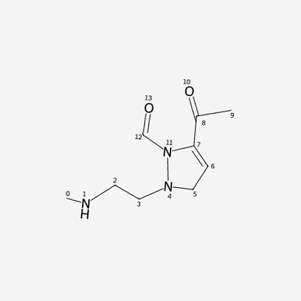 CNCCN1CC=C(C(C)=O)N1C=O